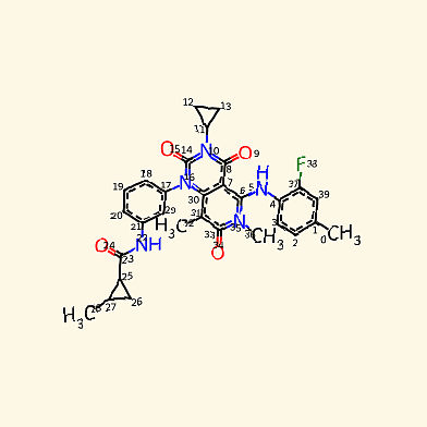 Cc1ccc(Nc2c3c(=O)n(C4CC4)c(=O)n(-c4cccc(NC(=O)C5CC5C)c4)c3c(C)c(=O)n2C)c(F)c1